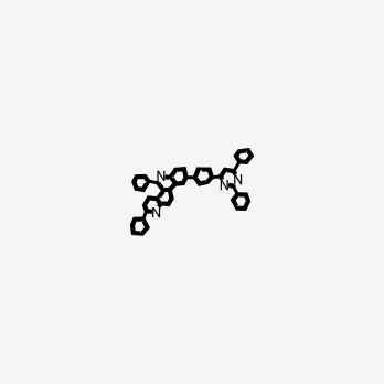 c1ccc(-c2cc(-c3ccc(-c4ccc5nc(-c6ccccc6)c6c7ccc(-c8ccccc8)nc7ccc6c5c4)cc3)nc(-c3ccccc3)n2)cc1